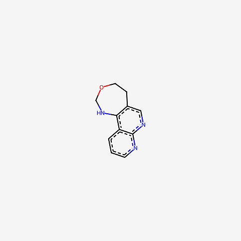 c1cnc2ncc3c(c2c1)NCOCC3